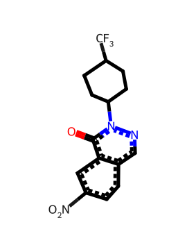 O=c1c2cc([N+](=O)[O-])ccc2cnn1C1CCC(C(F)(F)F)CC1